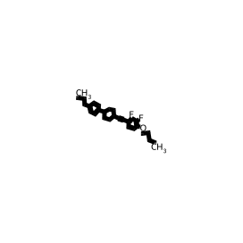 CCCCCOc1ccc(C#CC2CCC(c3ccc(CCCC)cc3)CC2)c(F)c1F